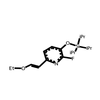 CCOC=Cc1ccc(O[Si](C(C)C)(C(C)C)C(C)C)c(F)n1